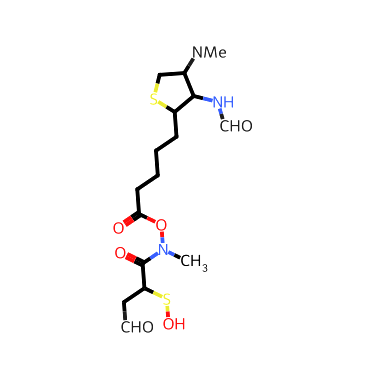 CNC1CSC(CCCCC(=O)ON(C)C(=O)C(CC=O)SO)C1NC=O